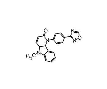 CN1c2ccccc2C2C1C=CC(=O)N2c1ccc(-c2ncon2)cc1